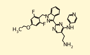 CCOc1cc(F)c(Cn2nc(-c3ncc(CCN)c(Nc4ccncc4)n3)c3ccccc32)c(F)c1